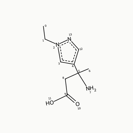 CCn1cc(C(C)(N)CC(=O)O)cn1